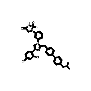 CC(C)Cc1ccc(-c2ccc(Cc3nc(-c4ccc(Cl)cc4Cl)cn3-c3cccc(N4CC(=O)NS4(=O)=O)c3)cc2)cc1